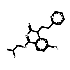 O=C1N=C(NCC(F)F)c2ccc(C(F)(F)F)cc2C1CCc1ccccn1